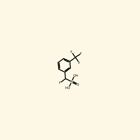 O=P(O)(O)C(F)c1cccc(C(F)(F)F)c1